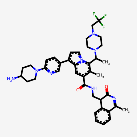 CC1=NC(=O)C(CNC(=O)c2cc3c(-c4ccc(N5CCC(N)CC5)nc4)ccn3c(C(C)N3CCN(CC(F)(F)F)CC3)c2C)c2ccccc21